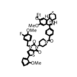 CCOc1cc2c(cc1OC)C(c1ccc(C(=O)N3CCC(n4c(=O)c5sc(-c6ccccc6OC)cc5n(Cc5ccc(OC)c(F)c5)c4=O)CC3)cc1)=N[C@@H]1CCSC[C@H]21